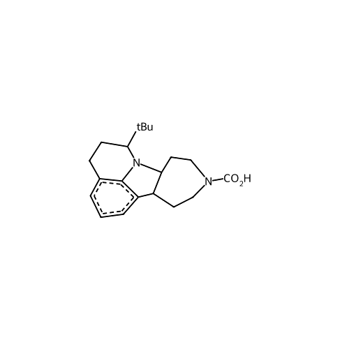 CC(C)(C)C1CCc2cccc3c2N1C1CCN(C(=O)O)CCC31